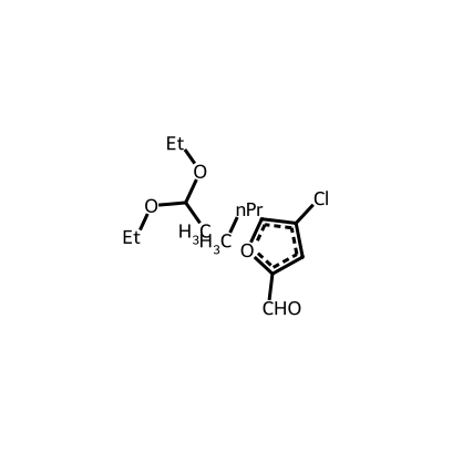 CCCC.CCOC(C)OCC.O=Cc1cc(Cl)co1